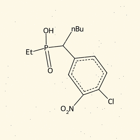 CCCCC(c1ccc(Cl)c([N+](=O)[O-])c1)P(=O)(O)CC